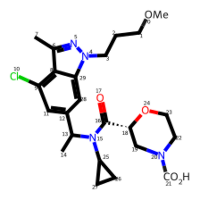 COCCCn1nc(C)c2c(Cl)cc(C(C)N(C(=O)[C@H]3CN(C(=O)O)CCO3)C3CC3)cc21